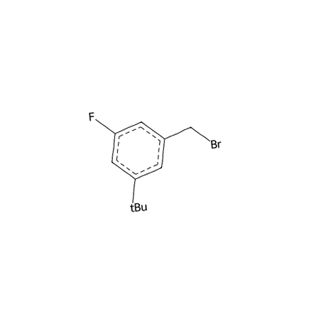 CC(C)(C)c1cc(F)cc(CBr)c1